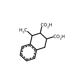 CC1c2ccccc2CC(C(=O)O)C1C(=O)O